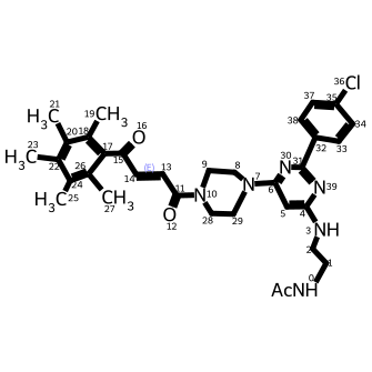 CC(=O)NCCNc1cc(N2CCN(C(=O)/C=C/C(=O)c3c(C)c(C)c(C)c(C)c3C)CC2)nc(-c2ccc(Cl)cc2)n1